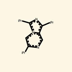 CC(C)c1cn2c(C(C)C)nc(C(C)C)c2cn1